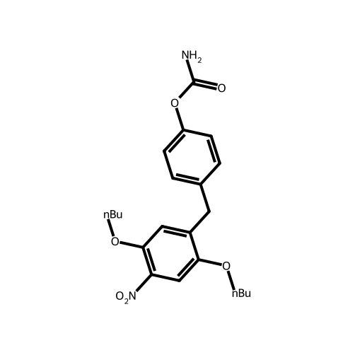 CCCCOc1cc([N+](=O)[O-])c(OCCCC)cc1Cc1ccc(OC(N)=O)cc1